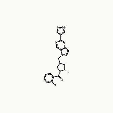 C[C@H]1CC(Cn2ccc3cc(-c4cn[nH]c4)ncc32)CN1C(=O)c1ccccc1F